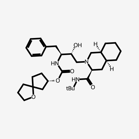 CC(C)(C)NC(=O)[C@@H]1C[C@@H]2CCCC[C@@H]2CN1C[C@@H](O)[C@H](Cc1ccccc1)NC(=O)O[C@H]1CCC2(CCCO2)C1